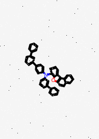 c1ccc(-c2cccc(-c3ccc(N(c4cccc(-c5ccccc5)c4)c4cccc5c4oc4ccc6ccccc6c45)cc3)c2)cc1